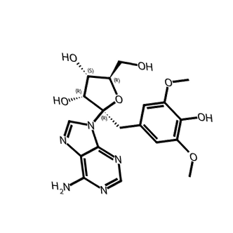 COc1cc(C[C@@]2(n3cnc4c(N)ncnc43)O[C@H](CO)[C@@H](O)[C@H]2O)cc(OC)c1O